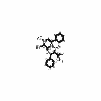 CC(=O)N1C=C(c2ccccc2)N(N(C(C)=O)C(Cc2ccccc2)C(=O)C(F)(F)F)C(=O)C1C(C)C